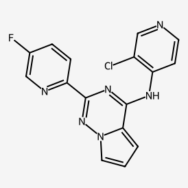 Fc1ccc(-c2nc(Nc3ccncc3Cl)c3cccn3n2)nc1